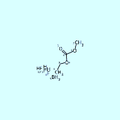 B.CCOC(=O)OC.F.F.F